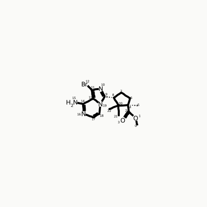 COC(=O)[C@]1(C)CC[C@@H](c2nc(Br)c3c(N)nccn23)C1(C)C